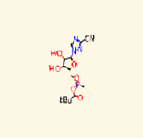 CP(OC[C@H]1O[C@@H](n2cnc(C#N)n2)[C@H](O)[C@@H]1O)OC(=O)C(C)(C)C